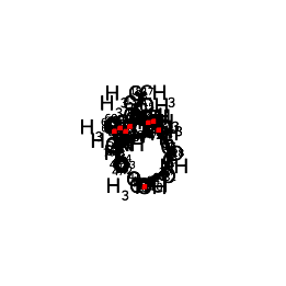 CC[C@@H](C)[C@@H]1NC(=O)[C@H](NC(=O)[C@@H](C)[C@@H](O)C(C)C)[C@H](C)OC(=O)[C@H]2COC(=O)CNC(=O)/C=C\[C@@](O)(CCl)[C@H](C)Oc3ccc(cc3)[C@@H](NC1=O)C(=O)N(C)[C@H](Cc1ccccc1)C(=O)N[C@@H]([C@H](C)O)C(=O)N2